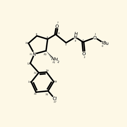 CC(C)(C)OC(=O)NCC(=O)C1CCN(Cc2ccc(Cl)cc2)[C@H]1N